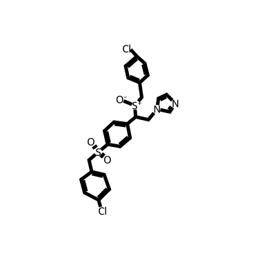 O=S(=O)(Cc1ccc(Cl)cc1)c1ccc(C(Cn2ccnc2)[S+]([O-])Cc2ccc(Cl)cc2)cc1